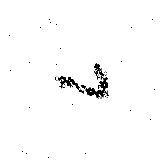 Cc1cc(CCN2CCN(c3ccc(-c4cnc5[nH]nc(-c6ccc(C(C)NC(=O)c7noc(C(C)(C)C)n7)c(C)c6F)c5c4)cc3)CC2)ncc1C1CCC(=O)NC1=O